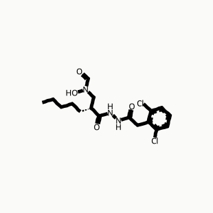 CCCCC[C@H](CN(O)C=O)C(=O)NNC(=O)Cc1c(Cl)cccc1Cl